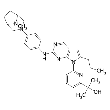 CCCc1cc2cnc(Nc3ccc(N4CC5CCC(C4)N5C)cc3)nc2n1-c1cccc(C(C)(C)O)n1